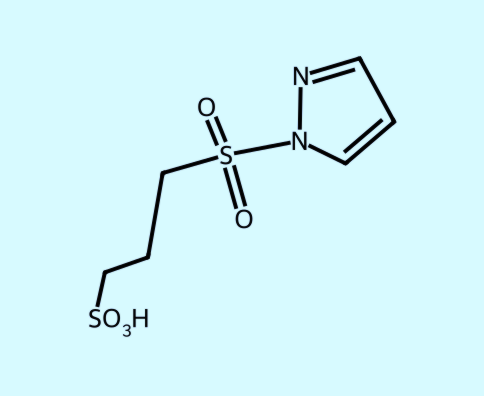 O=S(=O)(O)CCCS(=O)(=O)n1cccn1